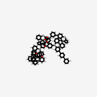 c1ccc(-c2ccc(-c3ccc(N(c4ccc5cc6c(cc5c4)C4(c5ccccc5Oc5ccccc54)c4ccccc4-6)c4cccc5c4-c4ccccc4C54c5ccccc5Oc5ccc(-c6cccc(-c7ccc(-c8ccc(N(c9cccc%10c9-c9ccccc9C%109c%10ccccc%10Oc%10ccccc%109)c9cccc%10cc%11c(cc9%10)C9(c%10ccccc%10Oc%10ccccc%109)c9ccccc9-%11)cc8)cc7)c6)cc54)cc3)cc2)cc1